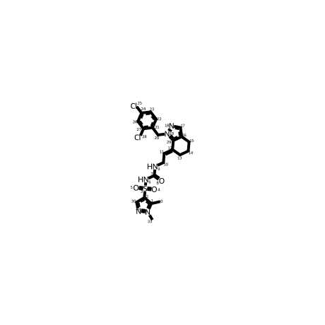 Cc1c(S(=O)(=O)NC(=O)NCC=C2CCCc3cnn(Cc4ccc(Cl)cc4Cl)c32)cnn1C